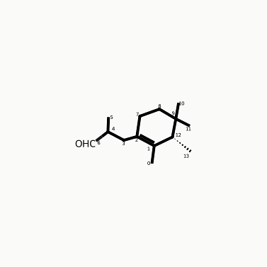 CC1=C(CC(C)C=O)CCC(C)(C)[C@@H]1C